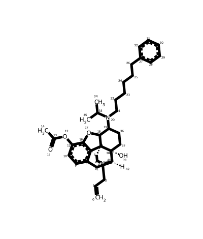 C=CCN1CC[C@]23c4c5ccc(OC(C)=O)c4OC2C(N(CCCCCCc2ccccc2)C(C)C)CC[C@@]3(O)[C@H]1C5